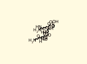 N=C(N)NCCC[C@H](NC(=O)CNC(=O)[C@H](CO)NC(=O)CNC(=O)CCN)C(=O)N1CCC[C@H]1C(=O)O